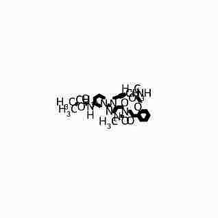 CC#CCn1c(N2CCC[C@H](NC(=O)OC(C)(C)C)C2)nc2c1c(=O)n(CC(=O)c1ccccc1OCC(=O)NC)c(=O)n2C